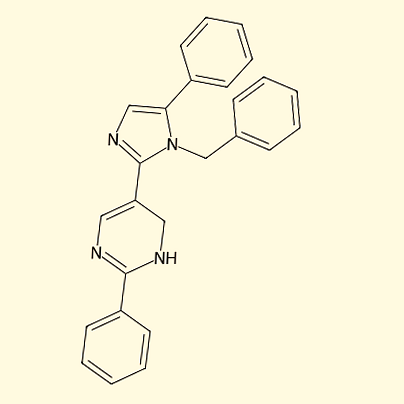 C1=C(c2ncc(-c3ccccc3)n2Cc2ccccc2)CNC(c2ccccc2)=N1